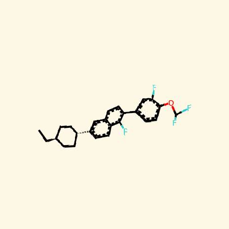 CC[C@H]1CC[C@H](c2ccc3c(F)c(-c4ccc(OC(F)F)c(F)c4)ccc3c2)CC1